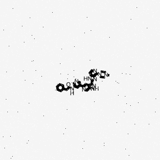 CN1CCN(c2nccc3[nH]c(-c4n[nH]c5cnc(-c6cncc(NC(=O)CC7CCCCC7)c6)cc45)nc23)CC1